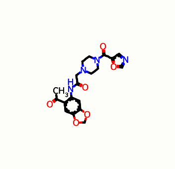 CC(=O)c1cc2c(cc1NC(=O)CN1CCN(C(=O)c3cnco3)CC1)OCO2